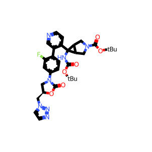 CC(C)(C)OC(=O)NC1(c2ccncc2-c2ccc(N3C[C@H](Cn4ccnn4)OC3=O)cc2F)C2CN(C(=O)OC(C)(C)C)CC21